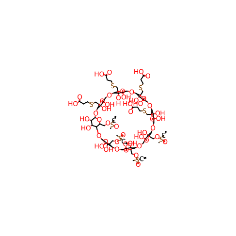 C=C=S(C)(=O)OCC1OC2OC3C(COS(C)(=O)=C=C)OC(OC4C(CSCCC(=O)O)OC(OC5C(CSCCC(=O)O)OC(OC6C(CSCCC(=O)O)OC(OC7C(CSCCC(=O)O)OC(OC8C(COS(C)(=O)=C=C)OC(OC9C(COS(C)(=O)=C=C)OC(OC1C(O)C2O)C(O)C9O)C(O)C8O)C(O)C7O)C(O)C6O)C(O)C5O)C(O)C4O)C(O)C3O